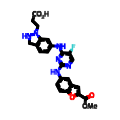 COC(=O)c1cc2cc(Nc3ncc(F)c(Nc4ccc5c(c4)N(CCC(=O)O)NC5)n3)ccc2o1